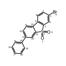 O=S1(=O)c2cc(Br)ccc2-c2ccc(-c3ccccc3)cc21